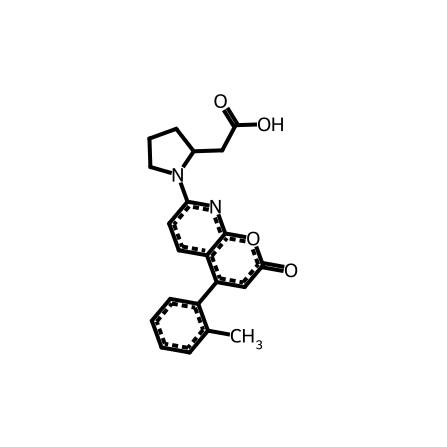 Cc1ccccc1-c1cc(=O)oc2nc(N3CCCC3CC(=O)O)ccc12